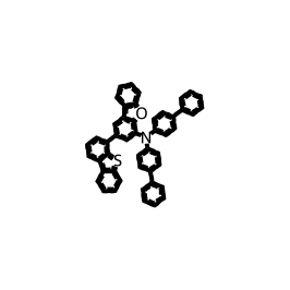 c1ccc(-c2ccc(N(c3ccc(-c4ccccc4)cc3)c3cc(-c4cccc5c4sc4ccccc45)cc4c3oc3ccccc34)cc2)cc1